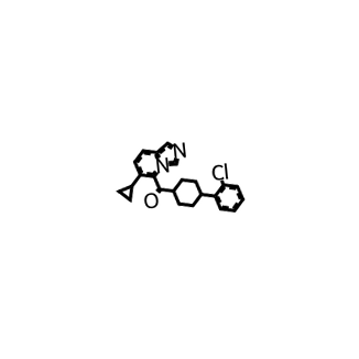 O=C(c1c(C2CC2)ccc2cncn12)C1CCC(c2ccccc2Cl)CC1